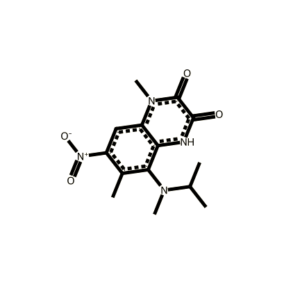 Cc1c([N+](=O)[O-])cc2c([nH]c(=O)c(=O)n2C)c1N(C)C(C)C